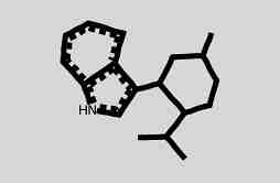 CC1CCC(C(C)C)[C](c2c[nH]c3ccccc23)C1